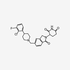 O=C1CCC(N2Cc3cc(CN4CCC(c5cccc(F)c5Cl)CC4)ccc3C2=O)C(=O)N1